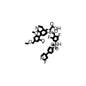 CCOCc1cc(OC)c(-c2ccc(C[C@@H](NC(=O)c3c(F)cc(NS(=O)(=O)c4ccc(-c5ccnc(F)c5)cc4)cc3F)C(=O)O)c3ccncc23)c(OC)c1